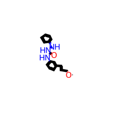 [O]CC=Cc1cccc(NC(=O)NNc2ccccc2)c1